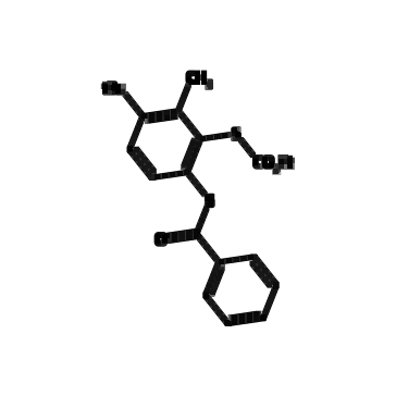 CCOC(=O)Sc1c(SC(=O)c2ccccc2)ccc(C(C)(C)C)c1C